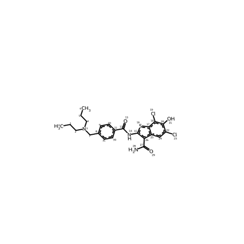 CCCN(CCC)Cc1ccc(C(=O)Nc2sc3c(Cl)c(O)c(Cl)cc3c2C(N)=O)cc1